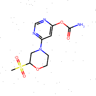 CS(=O)(=O)C1CN(c2cc(OC(N)=O)ncn2)CCO1